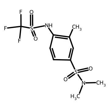 Cc1cc(S(=O)(=O)N(C)C)ccc1NS(=O)(=O)C(F)(F)F